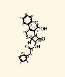 O=C(Cc1cccs1)NC1C(=O)N2C(C(=O)O)=C(c3ccccc3)CS[C@@H]12